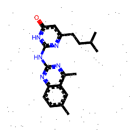 Cc1ccc2nc(Nc3nc(CCC(C)C)cc(=O)[nH]3)nc(C)c2c1